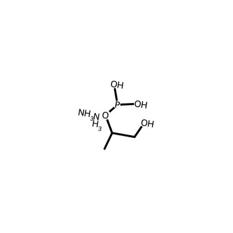 CC(CO)OP(O)O.N.N